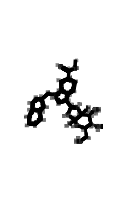 COC(=O)c1ccc2c(C3=N[C@H]4[C@@H](O3)O[C@H](CO)[C@@H](O)[C@@H]4O)cn(Cc3ccc4ccccc4c3)c2c1